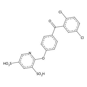 O=C(c1ccc(Oc2ncc(S(=O)(=O)O)cc2S(=O)(=O)O)cc1)c1cc(Cl)ccc1Cl